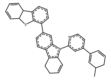 CC1C=C(c2ccnc(-n3c4c(c5ccc(-c6cccc7c6SC6C=CC=CC76)cc53)CCC=C4)c2)C=CC1